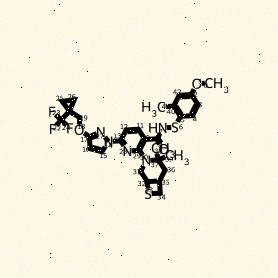 COc1ccc(SNC(=O)c2ccc(-n3ccc(OCC4(C(F)(F)F)CC4)n3)nc2N2CC3SCC3CC2(C)C)c(C)c1